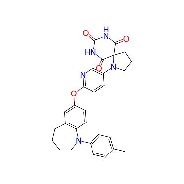 Cc1ccc(N2CCCCc3cc(Oc4ccc(N5CCCC56C(=O)NC(=O)NC6=O)cn4)ccc32)cc1